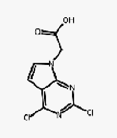 O=C(O)Cn1ccc2c(Cl)nc(Cl)nc21